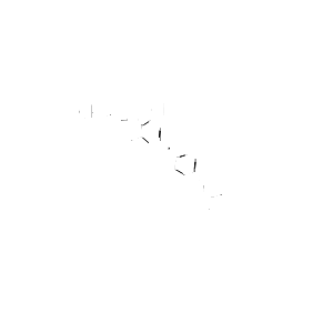 CC[C@@H](C)COc1ccc(C(C)(C)c2cc(Cl)c(OCCCCl)c(Cl)c2)cc1